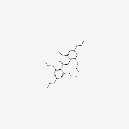 CCCc1cc(CCC)c(CC(=O)c2c(CCC)cc(CCC)cc2CCC)c(CCC)c1